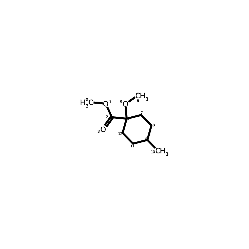 COC(=O)C1(OC)CCC(C)CC1